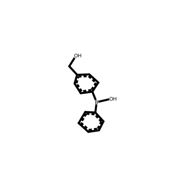 OCc1ccc(B(O)c2ccccc2)cc1